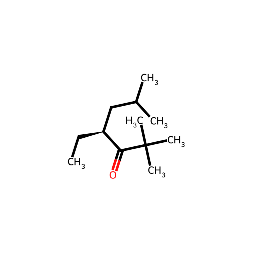 CC[C@@H](CC(C)C)C(=O)C(C)(C)C